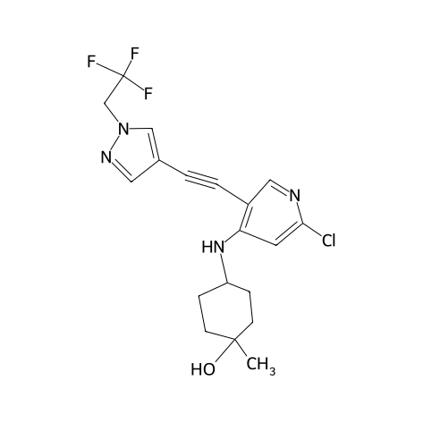 CC1(O)CCC(Nc2cc(Cl)ncc2C#Cc2cnn(CC(F)(F)F)c2)CC1